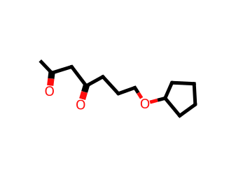 CC(=O)CC(=O)CCCOC1CCCC1